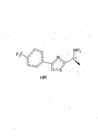 Br.C[C@H](N)c1nc(-c2ccc(C(F)(F)F)cc2)cs1